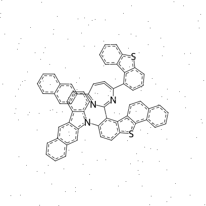 C1=CC(c2ccc3ccccc3c2)=NC(c2c(-n3c4ccccc4c4cc5ccccc5cc43)ccc3sc4c5ccccc5ccc4c23)=NC=1c1cccc2sc3ccccc3c12